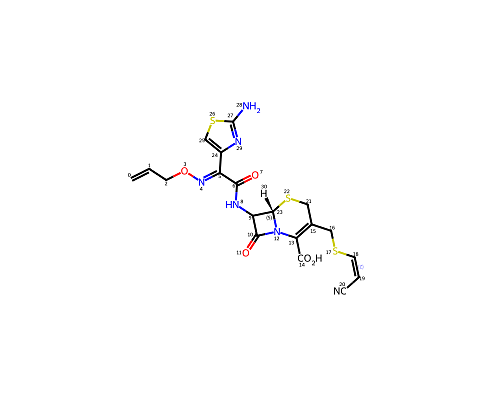 C=CCON=C(C(=O)NC1C(=O)N2C(C(=O)O)=C(CS/C=C\C#N)CS[C@@H]12)c1csc(N)n1